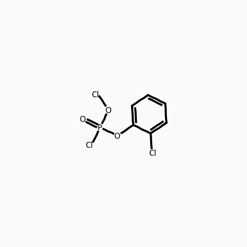 O=P(Cl)(OCl)Oc1ccccc1Cl